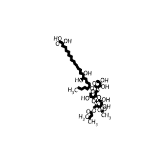 CCCCCC(CCCC(O)C(O)CCCCCCCCCCCCCC(O)C(=O)O)OC1OCC(O)C(O)C1OC1OCC(O)C(O)C1OC1OC(COC(=O)CC(C)C)C(OC(C)=O)C(O)C1O